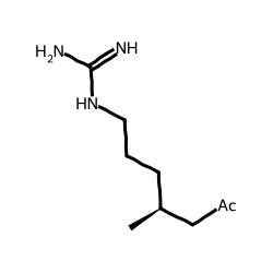 CC(=O)C[C@@H](C)CCCNC(=N)N